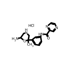 CC1(c2cccc(NC(=O)c3cnccn3)c2)CNCC(N)O1.Cl